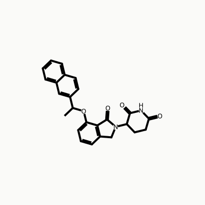 CC(Oc1cccc2c1C(=O)N(C1CCC(=O)NC1=O)C2)c1ccc2ccccc2c1